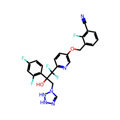 N#Cc1cccc(COc2ccc(C(F)(F)C(O)(CN3C=NNN3)c3ccc(F)cc3F)nc2)c1F